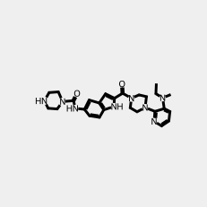 CCN(C)c1cccnc1N1CCN(C(=O)c2cc3cc(NC(=O)N4CCNCC4)ccc3[nH]2)CC1